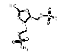 CC1O[C@@H](COS(C)(=O)=O)[C@H](COS(C)(=O)=O)O1